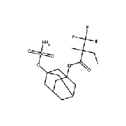 CCC(C)(C(=O)OC12CC3CC(C1)CC(OS(N)(=O)=O)(C3)C2)C(F)(F)F